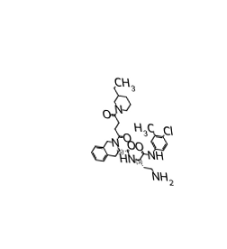 CCC1CCCN(C(=O)CCC(=O)N2Cc3ccccc3C[C@H]2C(=O)N[C@@H](CCN)C(=O)Nc2ccc(Cl)c(C)c2)C1